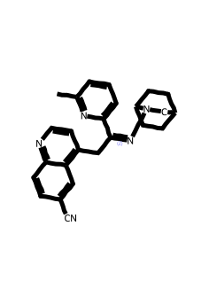 Cc1cccc(/C(Cc2ccnc3ccc(C#N)cc23)=N\N2CC3CCC2CC3)n1